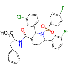 O=C(N[C@@H](Cc1ccccc1)C(=O)O)C1=CCC(c2cccc(Br)c2)N(S(=O)(=O)c2ccc(F)cc2)C1c1cccc(Cl)c1